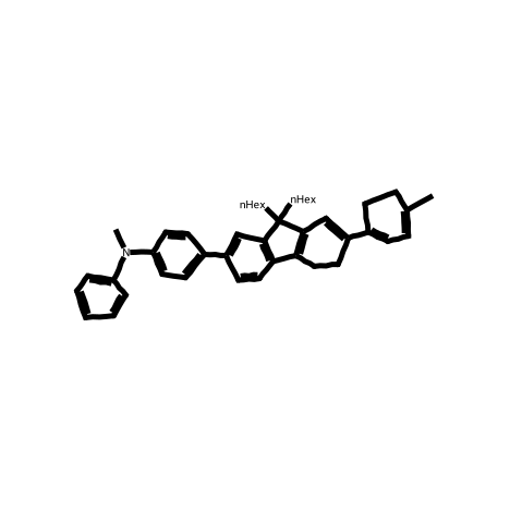 CCCCCCC1(CCCCCC)C2=C(CCC(C3=CC=C(C)CC3)=C2)c2ccc(-c3ccc(N(C)c4ccccc4)cc3)cc21